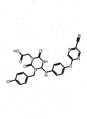 N#Cc1cnc(Oc2ccc(NC3NC(=O)N(CC(=O)O)C(=O)N3Cc3ccc(Cl)cc3)cc2)cn1